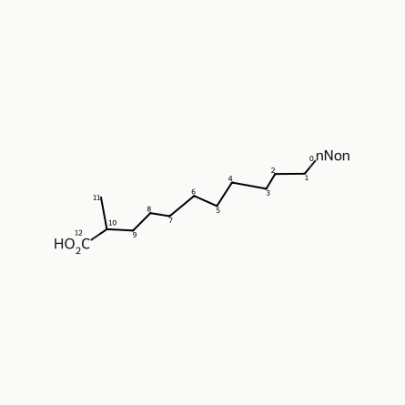 CCCCCCCCCCCCCCCCCCC(C)C(=O)O